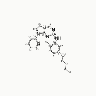 CCCCOc1ccc(C)c(Nc2ncc3ccn(-c4ccccn4)c3n2)c1